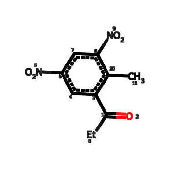 CCC(=O)c1cc([N+](=O)[O-])cc([N+](=O)[O-])c1C